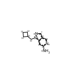 Nc1cc2c(cn1)cnn2CC1CCC1